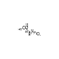 Cc1ccc(CN2CCC(NCC(=O)c3c[nH]c4ccc(O)cc34)C2=O)cc1